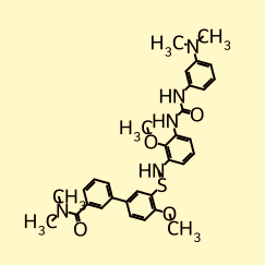 COc1ccc(-c2cccc(C(=O)N(C)C)c2)cc1SNc1cccc(NC(=O)Nc2cccc(N(C)C)c2)c1OC